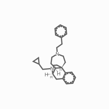 c1ccc(CCN2CC[C@@H]3[C@H]4Cc5ccccc5[C@@]3(CC2)CCN4CC2CC2)cc1